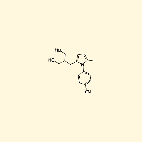 Cc1ccc(CC(CO)CO)n1-c1ccc(C#N)cc1